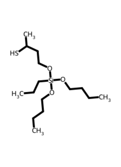 CCCCO[Si](CCC)(OCCCC)OCCC(C)S